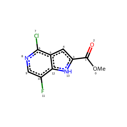 COC(=O)c1cc2c(Cl)ncc(F)c2[nH]1